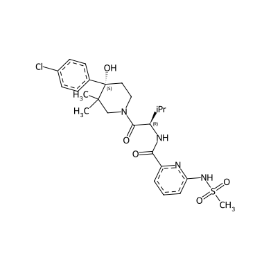 CC(C)[C@@H](NC(=O)c1cccc(NS(C)(=O)=O)n1)C(=O)N1CC[C@](O)(c2ccc(Cl)cc2)C(C)(C)C1